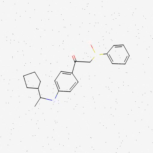 CC(Nc1ccc(C(=O)C[S+]([O-])c2ccccc2)cc1)C1CCCC1